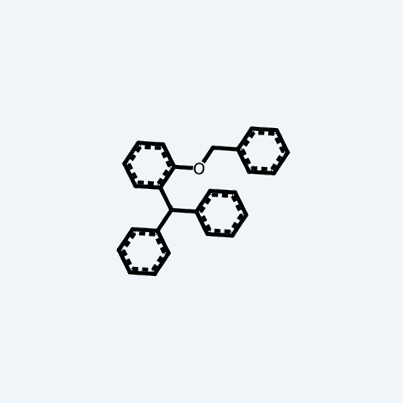 c1ccc(COc2ccccc2[C](c2ccccc2)c2ccccc2)cc1